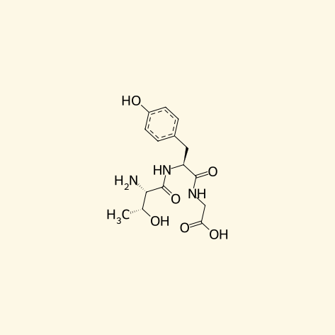 C[C@@H](O)[C@H](N)C(=O)N[C@@H](Cc1ccc(O)cc1)C(=O)NCC(=O)O